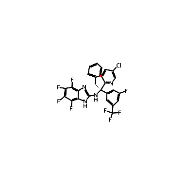 Fc1cc(C(F)(F)F)cc([C@@](Cc2ccccc2)(Nc2nc3c(F)c(F)c(F)c(F)c3[nH]2)c2ccc(Cl)cn2)c1